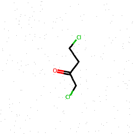 O=C(CCl)CCCl